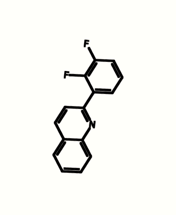 Fc1cccc(-c2ccc3ccccc3n2)c1F